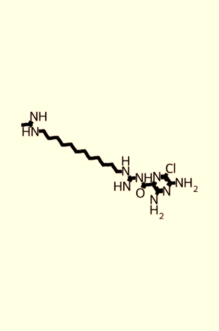 CC(=N)NCCCCCCCCCCCCNC(=N)NC(=O)c1nc(Cl)c(N)nc1N